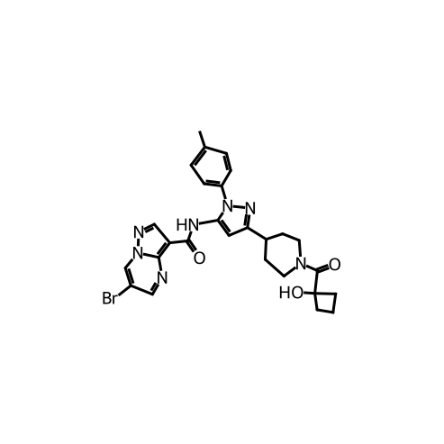 Cc1ccc(-n2nc(C3CCN(C(=O)C4(O)CCC4)CC3)cc2NC(=O)c2cnn3cc(Br)cnc23)cc1